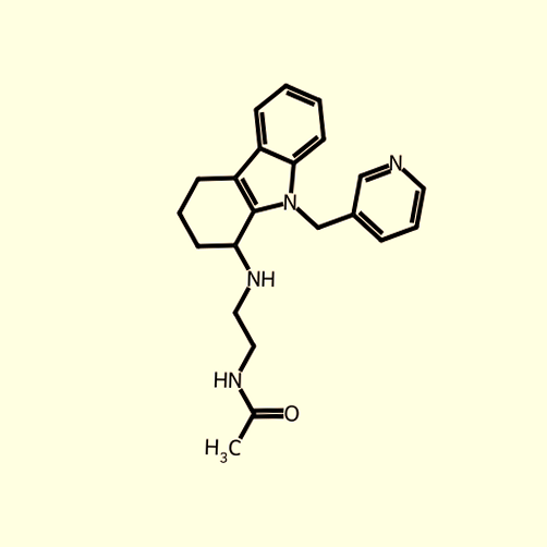 CC(=O)NCCNC1CCCc2c1n(Cc1cccnc1)c1ccccc21